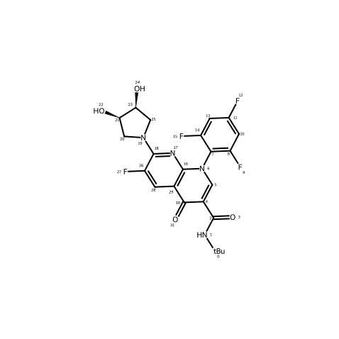 CC(C)(C)NC(=O)c1cn(-c2c(F)cc(F)cc2F)c2nc(N3C[C@@H](O)[C@@H](O)C3)c(F)cc2c1=O